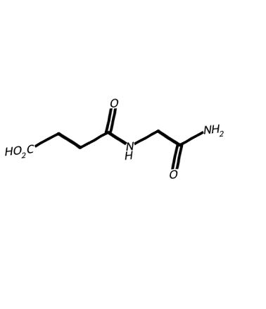 NC(=O)CNC(=O)CCC(=O)O